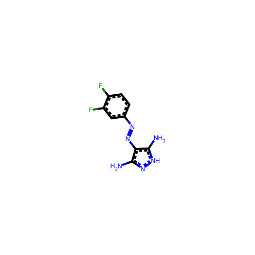 Nc1n[nH]c(N)c1N=Nc1ccc(F)c(F)c1